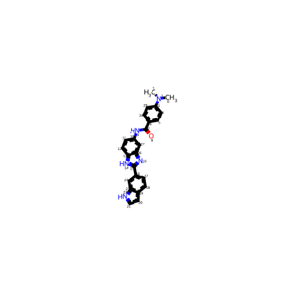 CN(C)c1ccc(C(=O)Nc2ccc3[nH]c(-c4ccc5cc[nH]c5c4)nc3c2)cc1